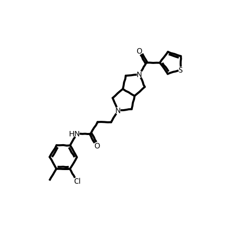 Cc1ccc(NC(=O)CCN2CC3CN(C(=O)c4ccsc4)CC3C2)cc1Cl